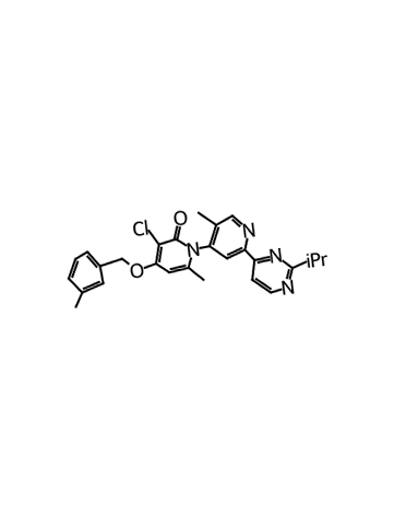 Cc1cccc(COc2cc(C)n(-c3cc(-c4ccnc(C(C)C)n4)ncc3C)c(=O)c2Cl)c1